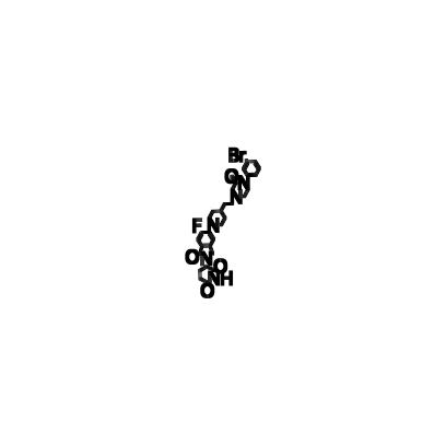 O=C1CCC(N2Cc3cc(N4CCC(CCN5CCN(c6cccc(Br)c6)C(=O)C5)CC4)c(F)cc3C2=O)C(=O)N1